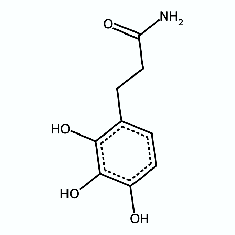 NC(=O)CCc1ccc(O)c(O)c1O